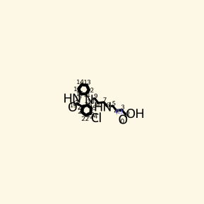 O=C(O)/C=C/CNCCCN1c2ccccc2NC(=O)c2ccc(Cl)cc21